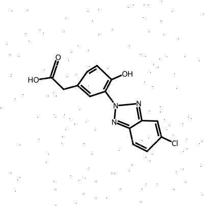 O=C(O)Cc1ccc(O)c(-n2nc3ccc(Cl)cc3n2)c1